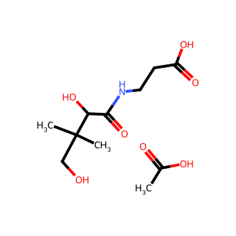 CC(=O)O.CC(C)(CO)C(O)C(=O)NCCC(=O)O